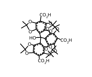 CC1(C)Oc2c(c(C(O)(c3c4c(c(C(=O)O)c5c3OC(C)(C)O5)OC(C)(C)O4)c3c4c(c(C(=O)O)c5c3OC(C)(C)O5)OC(C)(C)O4)c3c(c2C(=O)O)OC(C)(C)O3)O1